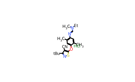 CCN(C)C=Nc1cc(C)c(Oc2snc(C(C)(C)C)c2C#N)cc1C.Cl